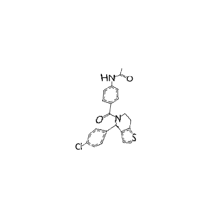 CC(=O)Nc1ccc(C(=O)N2CCc3sccc3C2c2ccc(Cl)cc2)cc1